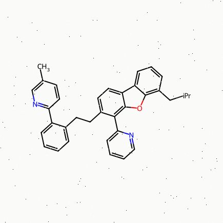 Cc1ccc(-c2ccccc2CCc2ccc3c(oc4c(CC(C)C)cccc43)c2-c2ccccn2)nc1